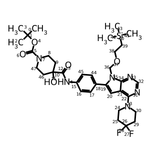 CC(C)(C)OC(=O)N1CCC(O)(C(=O)Nc2ccc(-c3cc4c(N5CCC(F)(F)CC5)ncnc4n3COCC[Si](C)(C)C)cc2)CC1